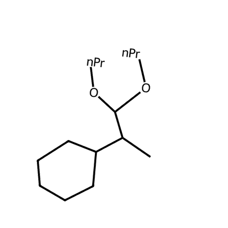 CCCOC(OCCC)C(C)C1CCCCC1